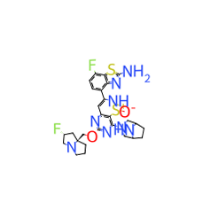 Nc1nc2c(C3=Cc4nc(OC[C@@]56CCCN5C[C@H](F)C6)nc(N5CC6CCC(C5)N6)c4[S+]([O-])N3)ccc(F)c2s1